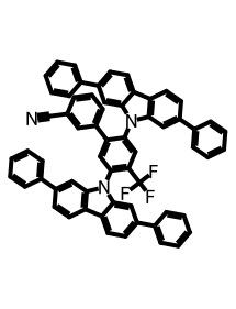 N#Cc1cccc(-c2cc(-n3c4cc(-c5ccccc5)ccc4c4ccc(-c5ccccc5)cc43)c(C(F)(F)F)cc2-n2c3cc(-c4ccccc4)ccc3c3ccc(-c4ccccc4)cc32)c1